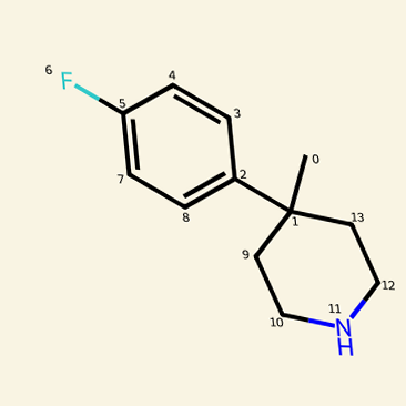 CC1(c2ccc(F)cc2)CCNCC1